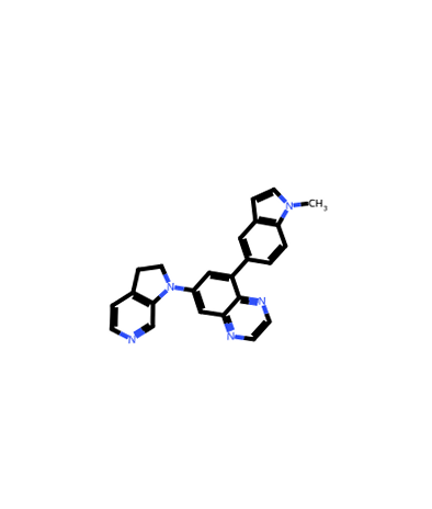 Cn1ccc2cc(-c3cc(N4CCc5ccncc54)cc4nccnc34)ccc21